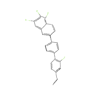 CCc1ccc(-c2ccc(-c3ccc4c(F)c(F)c(F)cc4c3)cc2)c(F)c1